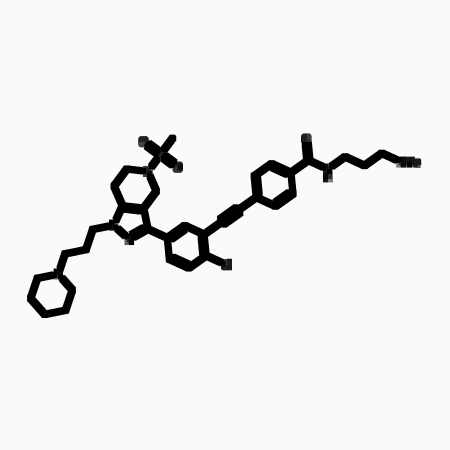 CNCCCNC(=O)c1ccc(C#Cc2cc(-c3nn(CCCN4CCCCC4)c4c3CN(S(C)(=O)=O)CC4)ccc2Cl)cc1